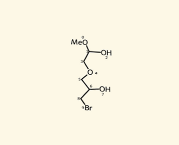 COC(O)COCC(O)CBr